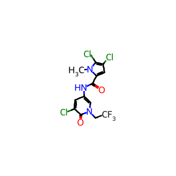 Cn1c(C(=O)Nc2cc(Cl)c(=O)n(CC(F)(F)F)c2)cc(Cl)c1Cl